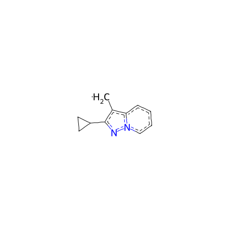 [CH2]c1c(C2CC2)nn2ccccc12